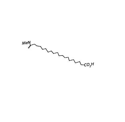 C=C(CCCCCCCCCCCCCCCCCCC(=O)O)NC